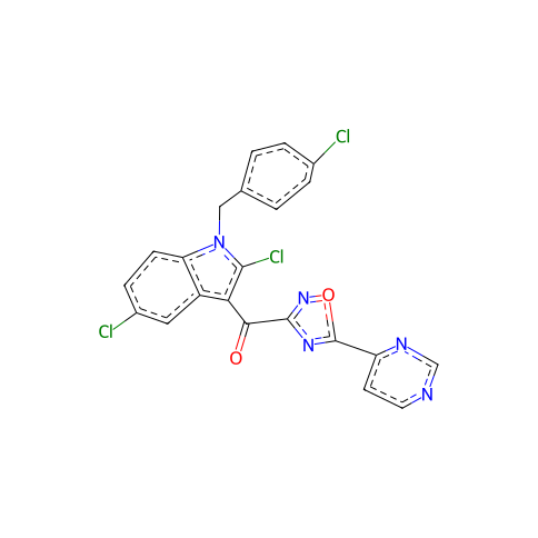 O=C(c1noc(-c2ccncn2)n1)c1c(Cl)n(Cc2ccc(Cl)cc2)c2ccc(Cl)cc12